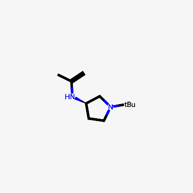 C=C(C)N[C@@H]1CCN(C(C)(C)C)C1